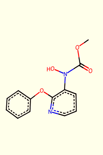 COC(=O)N(O)c1cccnc1Oc1ccccc1